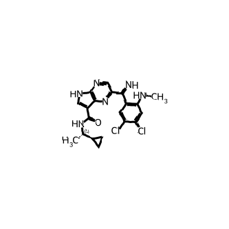 CNc1cc(Cl)c(Cl)cc1C(=N)c1cnc2[nH]cc(C(=O)N[C@@H](C)C3CC3)c2n1